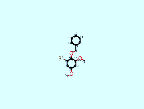 COc1cc(Br)c(OCc2ccccc2)c(OC)c1